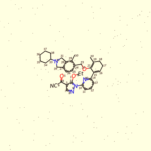 CCOc1c(C(=O)C#N)cnn1-c1cccc(C2=CCCC(C)=C2OCc2ccc3c(c2C)CN(C2CCCCC2)C3)n1